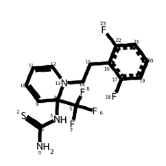 NC(=S)NC1(C(F)(F)F)C=CC=CN1CCc1c(F)cccc1F